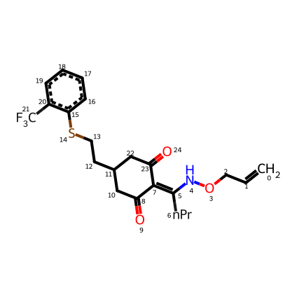 C=CCONC(CCC)=C1C(=O)CC(CCSc2ccccc2C(F)(F)F)CC1=O